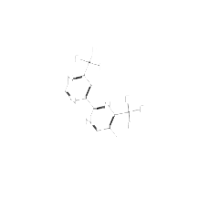 Cc1[c]nc(-c2cc(C(F)(F)F)ncn2)nc1C(F)(F)F